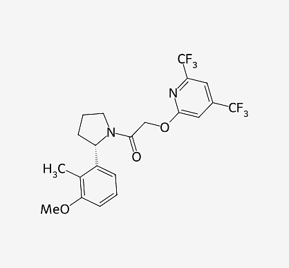 COc1cccc([C@@H]2CCCN2C(=O)COc2cc(C(F)(F)F)cc(C(F)(F)F)n2)c1C